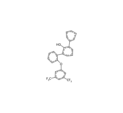 Oc1c(-c2ccccc2)cccc1-c1ccccc1Oc1cc(C(F)(F)F)cc(C(F)(F)F)c1